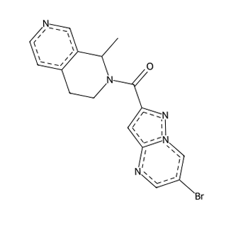 CC1c2cnccc2CCN1C(=O)c1cc2ncc(Br)cn2n1